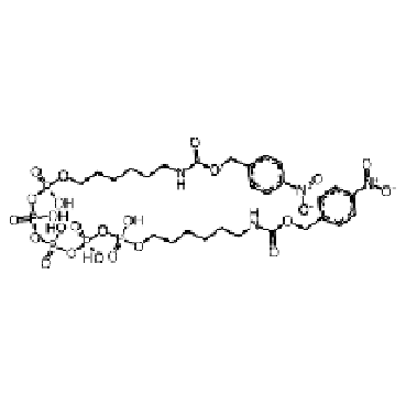 O=C(NCCCCCCOP(=O)(O)OP(=O)(O)OP(=O)(O)OP(=O)(O)OP(=O)(O)OCCCCCCNC(=O)OCc1ccc([N+](=O)[O-])cc1)OCc1ccc([N+](=O)[O-])cc1